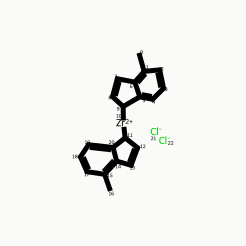 Cc1cccc2c1C=C[CH]2[Zr+2][CH]1C=Cc2c(C)cccc21.[Cl-].[Cl-]